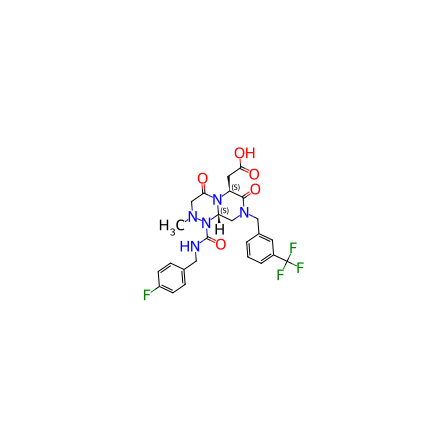 CN1CC(=O)N2[C@@H](CC(=O)O)C(=O)N(Cc3cccc(C(F)(F)F)c3)C[C@@H]2N1C(=O)NCc1ccc(F)cc1